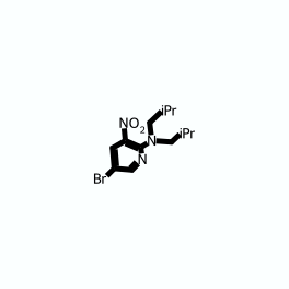 CC(C)CN(CC(C)C)c1ncc(Br)cc1[N+](=O)[O-]